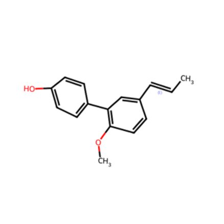 C/C=C/c1ccc(OC)c(-c2ccc(O)cc2)c1